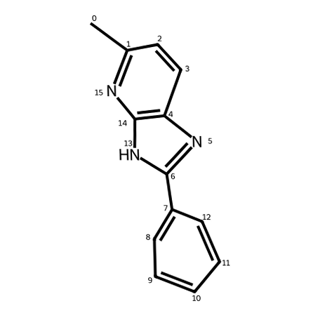 Cc1ccc2nc(-c3ccccc3)[nH]c2n1